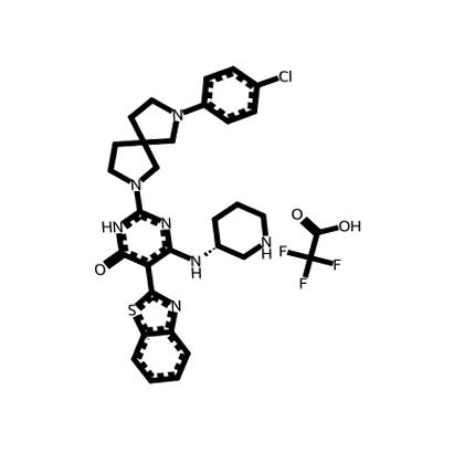 O=C(O)C(F)(F)F.O=c1[nH]c(N2CCC3(CCN(c4ccc(Cl)cc4)C3)C2)nc(N[C@@H]2CCCNC2)c1-c1nc2ccccc2s1